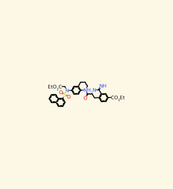 CCOC(=O)CN(c1ccc2c(c1)CCCN2C(=O)CCc1ccc(C(=O)OCC)cc1C(=N)N)S(=O)(=O)c1cccc2ccccc12